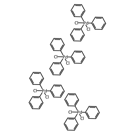 [Cl][Pd]([Cl])([c]1ccccc1)([c]1ccccc1)[c]1ccccc1.[Cl][Pd]([Cl])([c]1ccccc1)([c]1ccccc1)[c]1ccccc1.[Cl][Pd]([Cl])([c]1ccccc1)([c]1ccccc1)[c]1ccccc1.[Cl][Pd]([Cl])([c]1ccccc1)([c]1ccccc1)[c]1ccccc1